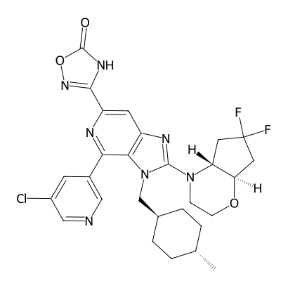 C[C@H]1CC[C@H](Cn2c(N3CCO[C@@H]4CC(F)(F)C[C@H]43)nc3cc(-c4noc(=O)[nH]4)nc(-c4cncc(Cl)c4)c32)CC1